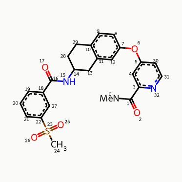 CNC(=O)c1cc(Oc2ccc3c(c2)CC(NC(=O)c2cccc(S(C)(=O)=O)c2)CC3)ccn1